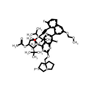 COCOc1cc(-c2ncc3c(N4CCC(OC(N)=O)[C@@H]4C(C)(C)C)nc(OC[C@@]45CCCN4C[C@H](F)C5)nc3c2F)c2c(C#C[Si](C(C)C)(C(C)C)C(C)C)c(F)ccc2c1